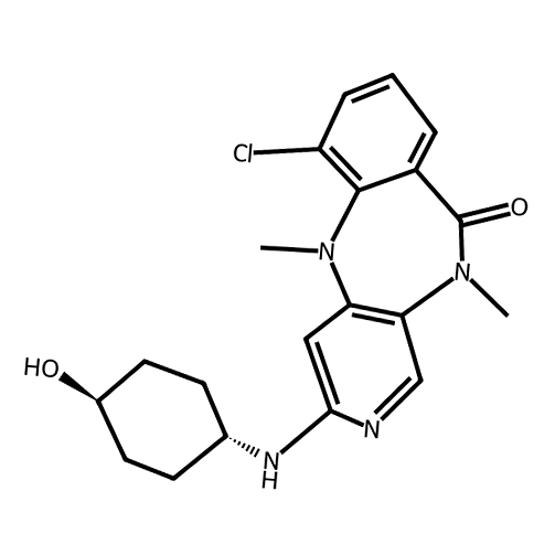 CN1C(=O)c2cccc(Cl)c2N(C)c2cc(N[C@H]3CC[C@H](O)CC3)ncc21